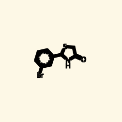 O=C1CSC(c2cccc(Br)c2)N1